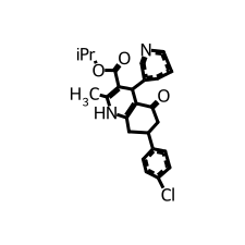 CC1=C(C(=O)OC(C)C)C(c2cccnc2)C2=C(CC(c3ccc(Cl)cc3)CC2=O)N1